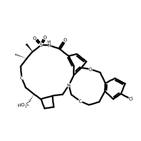 C[C@@H]1[C@@H](C)CCC[C@@H](C(=O)O)C2CCC2CN2CCCCc3cc(Cl)ccc3COc3ccc(cc32)C(=O)NS1(=O)=O